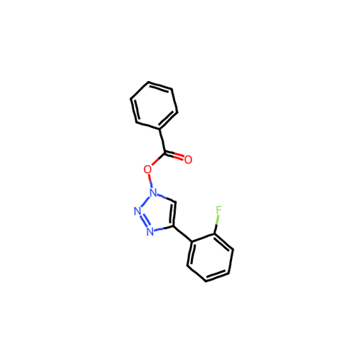 O=C(On1cc(-c2ccccc2F)nn1)c1ccccc1